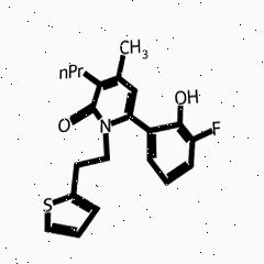 CCCc1c(C)cc(-c2cccc(F)c2O)n(CCc2cccs2)c1=O